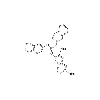 CC(C)(C)c1ccc2cc(OP(Oc3ccc4ccccc4c3)Oc3ccc4ccccc4c3)c(C(C)(C)C)cc2c1